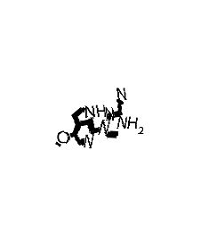 C=CN(/N=C(\N)C#N)c1ncc(OC)c2cc[nH]c12